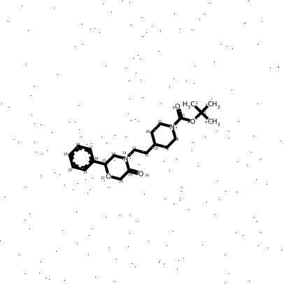 CC(C)(C)OC(=O)N1CCC(CCN2CC(c3ccccc3)OCC2=O)CC1